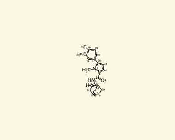 Cn1c(C(=O)N[C@H]2CN3CCC2CC3)ccc1-c1ccc(F)c(F)c1